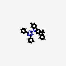 Cc1ccc2c3cc4c(cc3n(-c3nc(-c5ccccc5)nc(-c5ccccc5)n3)c2c1)-c1ccccc1C4(C)C